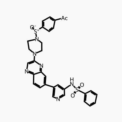 CC(=O)c1ccc([S+]([O-])N2CCN(c3cnc4ccc(-c5cncc(NS(=O)(=O)c6ccccc6)c5)cc4n3)CC2)cc1